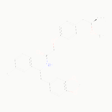 CCO[C@@H](Cc1ccc(OCC(=O)NC(Cc2ccc3c(c2)OCO3)c2cccc(C(F)(F)F)c2)cc1)C(=O)O